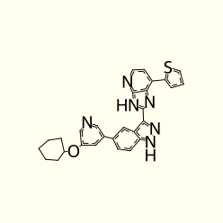 c1csc(-c2ccnc3[nH]c(-c4n[nH]c5ccc(-c6cncc(OC7CCCCC7)c6)cc45)nc23)c1